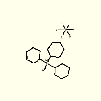 F[P-](F)(F)(F)(F)F.[Ir][PH](C1CCCCC1)(C1CCCCC1)C1CCCCC1